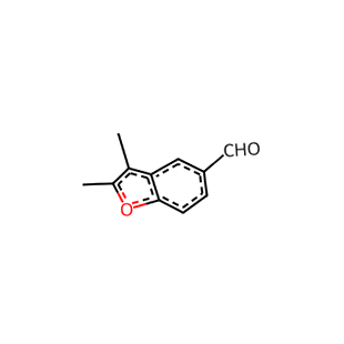 Cc1oc2ccc(C=O)cc2c1C